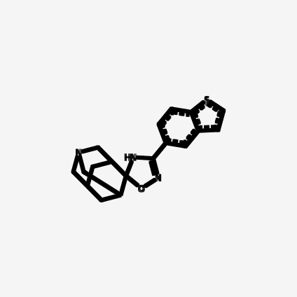 c1cc2cc(C3=NOC4(N3)C3CC5CC4CN(C5)C3)ccc2s1